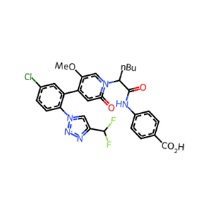 CCCCC(C(=O)Nc1ccc(C(=O)O)cc1)n1cc(OC)c(-c2cc(Cl)ccc2-n2cc(C(F)F)nn2)cc1=O